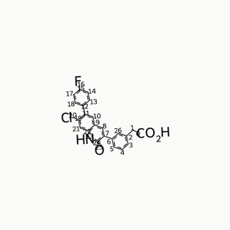 O=C(O)Cc1cccc(-c2cc3cc(-c4ccc(F)cc4)c(Cl)cc3[nH]c2=O)c1